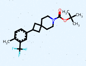 Cc1ccc(C2CC3(CCN(C(=O)OC(C)(C)C)CC3)C2)cc1C(F)(F)F